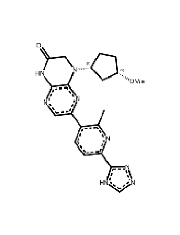 CO[C@H]1CC[C@@H](N2CC(=O)Nc3ncc(-c4ccc(-c5nnc[nH]5)nc4C)nc32)C1